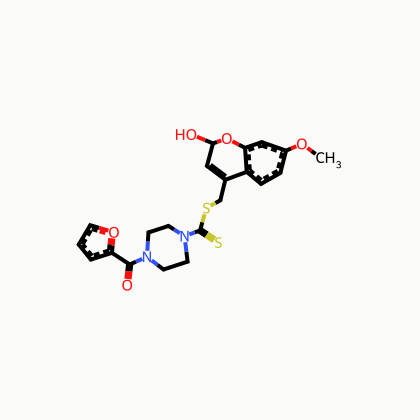 COc1ccc2c(c1)OC(O)C=C2CSC(=S)N1CCN(C(=O)c2ccco2)CC1